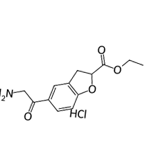 CCOC(=O)C1Cc2cc(C(=O)CN)ccc2O1.Cl